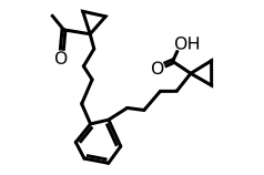 CC(=O)C1(CCCCc2ccccc2CCCCC2(C(=O)O)CC2)CC1